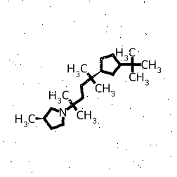 C[C@@H]1CCN(C(C)(C)CCC(C)(C)[C@H]2CCC(C(C)(C)C)C2)C1